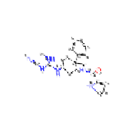 CN/C(=N\C#N)N[C@H]1CC[C@](CNC(=O)c2ccc[nH]2)(c2ccccc2)CC1